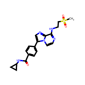 CS(=O)(=O)CCNc1nccn2c(-c3ccc(C(=O)NC4CC4)cc3)cnc12